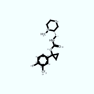 CN1CCOC[C@@H]1CNC(=O)OC1(c2ccc(F)c(C(F)(F)F)c2)CC1